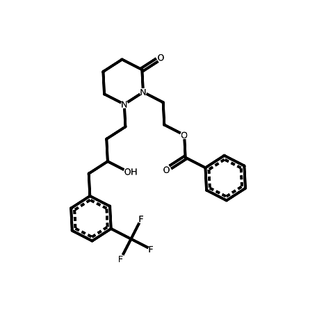 O=C(OCCN1C(=O)CCCN1CCC(O)Cc1cccc(C(F)(F)F)c1)c1ccccc1